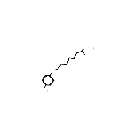 O=C(O)C(CCCCCCOc1ccc(O)cc1)C(=O)O